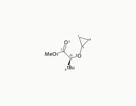 COC(=O)[C@@H](OC1CC1)C(C)(C)C